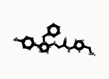 CCc1nnc(NC(=O)CSc2nnc(-c3ccc(O)cc3)n2Cc2ccccc2)s1